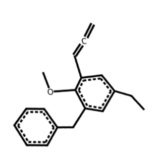 C=C=Cc1cc(CC)cc(Cc2ccccc2)c1OC